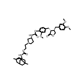 COc1ccc(C[C@H]2COC(=O)[C@@H]2Cc2ccc(OC(=O)N[C@H]3CCN(CCOC(=O)NC45CC6CC(C)(CC(C)(C6)C4)C5)C3)c(OC)c2)cc1OC